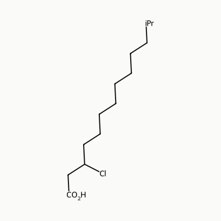 CC(C)CCCCCCCCC(Cl)CC(=O)O